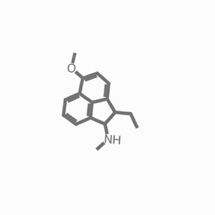 CCC1c2ccc(OC)c3cccc(c23)C1NC